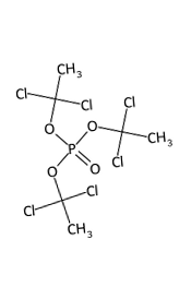 CC(Cl)(Cl)OP(=O)(OC(C)(Cl)Cl)OC(C)(Cl)Cl